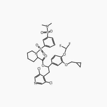 CN(C)S(=O)(=O)c1cccc(S(=O)(=O)N2CCCCC2C(=O)OC(Cc2c(Cl)cncc2Cl)c2ccc(OC(F)F)c(OCC3CC3)c2)c1